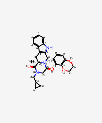 O=C1[C@H]2Cc3c([nH]c4ccccc34)[C@H](c3ccc4c(c3)OCCO4)N2C(=O)CN1CC1CC1